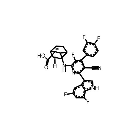 N#Cc1c(-c2c[nH]c3c(F)cc(F)cc23)nc(NC2C3CCC(CC3)[C@H]2C(=O)O)c(F)c1-c1ccc(F)c(F)c1